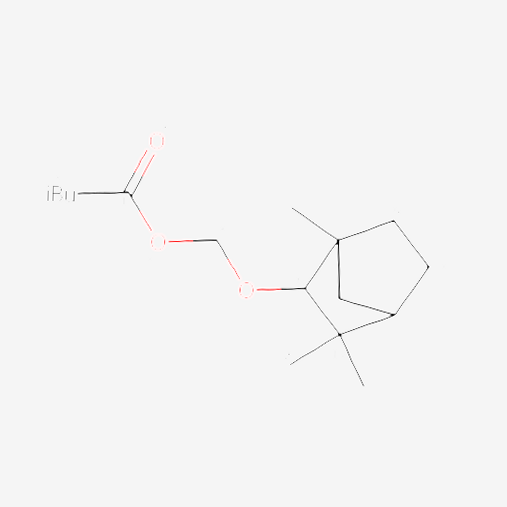 CCC(C)C(=O)OCOC1C2(C)CCC(C2)C1(C)C